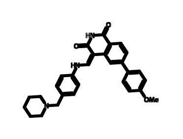 COc1ccc(-c2ccc3c(c2)C(=CNc2ccc(CN4CCCCC4)cc2)C(=O)NC3=O)cc1